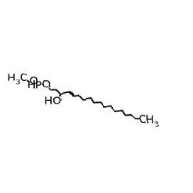 CCCCCCCCCCCCC/C=C/C(O)CCOPOCC